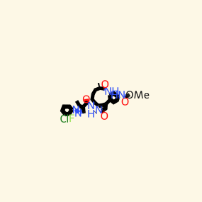 COC(=O)Nc1ccc2c(c1)NC(=O)[C@H](C)CCC[C@H](NC(=O)c1cnn(-c3cccc(Cl)c3F)c1C)c1cc-2cc(=O)n1C